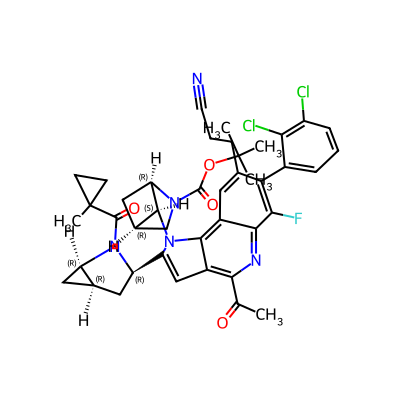 CC(=O)c1nc2c(F)c(-c3cccc(Cl)c3Cl)c(CCC#N)cc2c2c1cc([C@H]1C[C@H]3C[C@H]3N1C(=O)C1(C)CC1)n2[C@H]1[C@@H]2C[C@H]1N(C(=O)OC(C)(C)C)C2